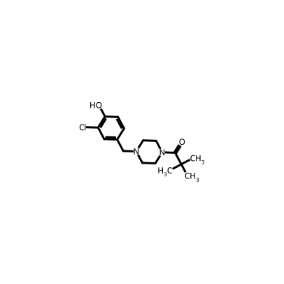 CC(C)(C)C(=O)N1CCN(Cc2ccc(O)c(Cl)c2)CC1